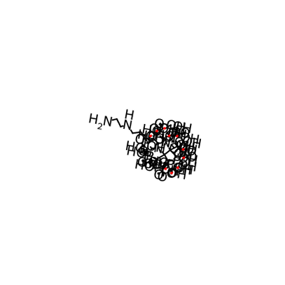 NCCNCCNCCN(C(P(=O)(O)O)P(=O)(O)O)C(C(P(=O)(O)O)P(=O)(O)O)(C(P(=O)(O)O)P(=O)(O)O)C(C(P(=O)(O)O)P(=O)(O)O)(C(P(=O)(O)O)P(=O)(O)O)N(C(P(=O)(O)O)P(=O)(O)O)C(P(=O)(O)O)P(=O)(O)O